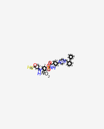 O=C(NS(=O)(=O)c1ccc(NC2CCOC(S)C2)c([N+](=O)[O-])c1)c1ccc(N2CCN(Cc3ccccc3-c3ccccc3)CC2)cc1